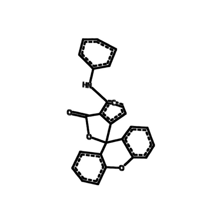 O=C1OC2(c3ccccc3Oc3ccccc32)c2cccc(Nc3ccccc3)c21